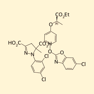 CC1(C(=O)O)CC(C(=O)O)=NN1c1ccc(Cl)cc1Cl.CCOC(=O)[C@@H](C)Oc1ccc(Oc2nc3ccc(Cl)cc3o2)cc1